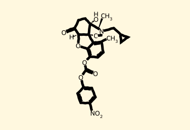 Cc1ccc(OC(=O)Oc2ccc([N+](=O)[O-])cc2)c2c1[C@]13CCN(CC4CC4)[C@H](C)[C@]1(O)CCC(=O)[C@@H]3O2